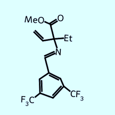 C=CC(CC)(N=Cc1cc(C(F)(F)F)cc(C(F)(F)F)c1)C(=O)OC